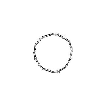 c1cncccoccnccnccnc1